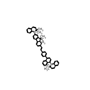 CC1(C)c2cc(N3c4ccccc4C=CC3(C)C)ccc2C2=CC=C(/C=C/c3ccc(-c4ccc(N5c6ccccc6C=CC5(C)C)c5ccccc45)cc3)CC21